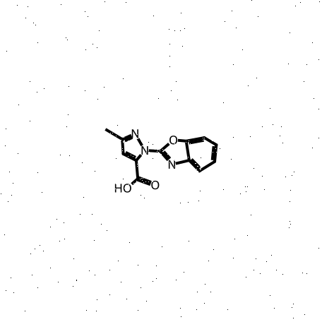 Cc1cc(C(=O)O)n(-c2nc3ccccc3o2)n1